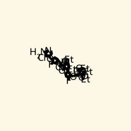 CCOc1ccn(-c2ccc(F)c(OCCC(P(=O)(OCC)OCC)P(=O)(OCC)OCC)c2)c(=O)c1C(=O)Nc1ccc(Oc2ccnc(N)c2Cl)c(F)c1